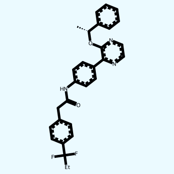 CCC(F)(F)c1ccc(CC(=O)Nc2ccc(-c3nccnc3O[C@H](C)c3ccccc3)cc2)cc1